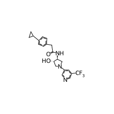 O=C(Cc1ccc(C2CC2)cc1)N[C@H]1CN(c2cncc(C(F)(F)F)c2)C[C@@H]1O